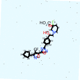 O=C(O)OC1(F)CCCN(CC(O)c2ccc(-c3noc(-c4onc(-c5ccccc5)c4C(F)(F)F)n3)cc2)C1